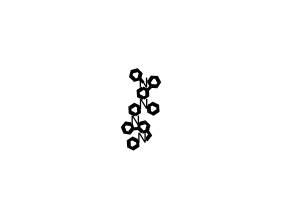 c1ccc(N(c2cccc(-n3c4ccccc4c4c5c(ccc43)ccn5-c3ccccc3)c2)c2ccc3c(c2)c2ccccc2n3-c2ccccc2)cc1